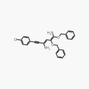 N/C(C#Cc1ccc(Cl)cc1)=C\C(OCc1ccccc1)=C(/N)OCc1ccccc1